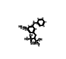 O=P(O)(O)C(Cc1cccc(Oc2ccccc2)c1)S(=O)(=O)O.[KH].[KH].[KH]